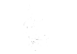 C=CCOC(=O)c1cc(C23CC4CC(CC(C4)C2)C3)c(OC)cc1F